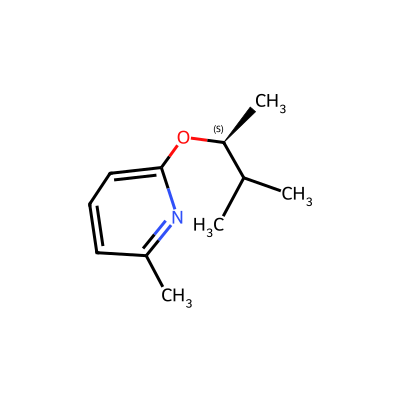 Cc1cccc(O[C@@H](C)C(C)C)n1